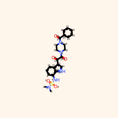 CN(C)S(=O)(=O)Nc1cccc2c(C(=O)C(=O)N3CCN(C(=O)c4ccccc4)CC3)c[nH]c12